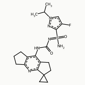 CC(C)n1cc(F)c(S(N)(=O)=NC(=O)Nc2c3c(nc4c2CCC42CC2)CCC3)n1